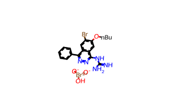 CCCCOc1cc2c(NC(=N)N)nnc(-c3ccccc3)c2cc1Br.[O-][Br+2]([O-])O